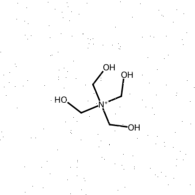 OC[N+](CO)(CO)CO